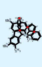 [CH2]=[Zr]([c]1ccccc1)([c]1ccc(Cl)cc1)([CH]1C=CC=C1)[CH]1c2cc(C)c(C(C)(C)C)cc2-c2cc(C(C)(C)C)c(C)cc21